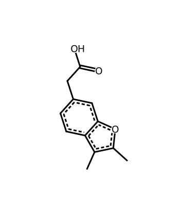 Cc1oc2cc(CC(=O)O)ccc2c1C